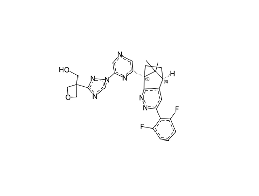 CC1(C)[C@H]2CC[C@]1(c1cncc(-n3cnc(C4(CO)COC4)n3)n1)c1nnc(-c3c(F)cccc3F)cc12